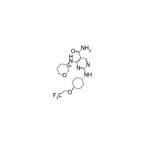 NC(=O)c1cnc(N[C@H]2CC[C@H](OCC(F)(F)F)CC2)nc1N[C@@H]1CCCOC1